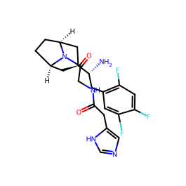 N[C@H](Cc1cc(F)c(F)cc1F)[C@H]1C[C@H]2CC[C@@H](C1)N2C(=O)CNC(=O)Cc1cnc[nH]1